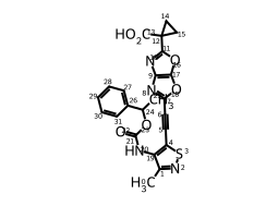 Cc1nsc(C#Cc2nc3nc(C4(C(=O)O)CC4)oc3o2)c1NC(=O)OC(C)c1ccccc1